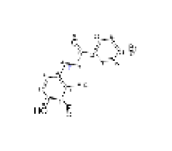 O=C(/C=C/c1ccc(O)c(F)c1F)c1ccc(Br)cc1